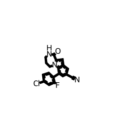 N#Cc1cc(-c2ccc(Cl)cc2F)c2c(c1)cc1n2CCCNC1=O